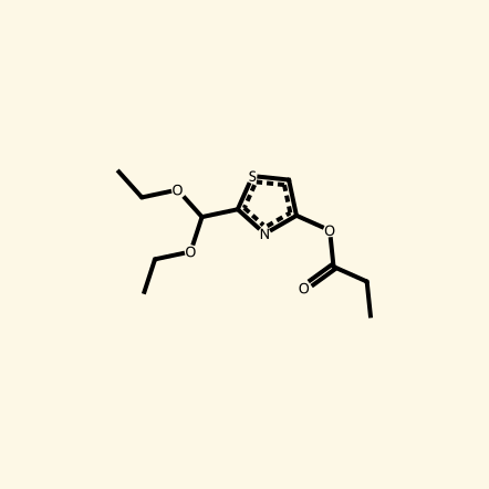 CCOC(OCC)c1nc(OC(=O)CC)cs1